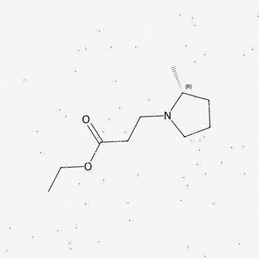 CCOC(=O)CCN1CCC[C@H]1C